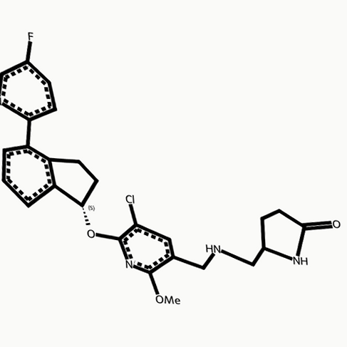 COc1nc(O[C@H]2CCc3c(-c4ccc(F)cn4)cccc32)c(Cl)cc1CNCC1CCC(=O)N1